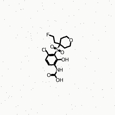 O=C(O)Nc1ccc(Cl)c(S(=O)(=O)C2(CCF)CCOCC2)c1O